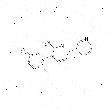 Cc1ccc(N)cc1N1C=CC(c2cccnc2)=NC1N